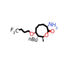 CCCC[C@H]1[C@H](C)OC(=O)[C@@H](N)CCC[C@@H]1OCCCC(F)(F)F